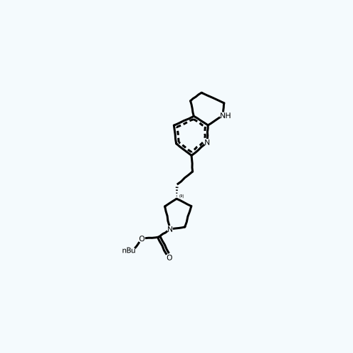 CCCCOC(=O)N1CC[C@@H](CCc2ccc3c(n2)NCCC3)C1